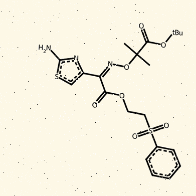 CC(C)(C)OC(=O)C(C)(C)ON=C(C(=O)OCCS(=O)(=O)c1ccccc1)c1csc(N)n1